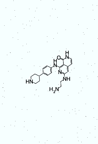 NCCNc1cc2cc[nH]c(=O)c2c(Nc2ccc(C3CCNCC3)cc2)n1